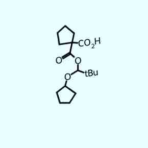 CC(C)(C)C(OC(=O)C1(C(=O)O)CCCC1)OC1CCCC1